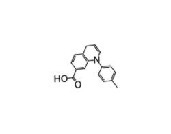 Cc1ccc(N2C=CCc3ccc(C(=O)O)cc32)cc1